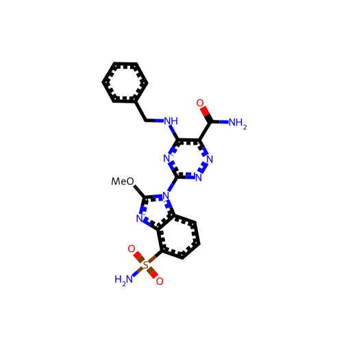 COc1nc2c(S(N)(=O)=O)cccc2n1-c1nnc(C(N)=O)c(NCc2ccccc2)n1